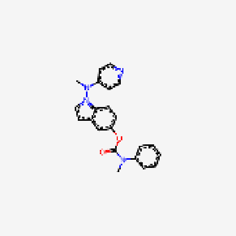 CN(C(=O)Oc1ccc2c(ccn2N(C)c2ccncc2)c1)c1ccccc1